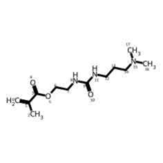 C=C(C)C(=O)OCCNC(=O)NCCCN(C)C